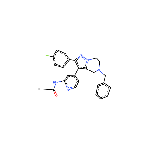 CC(=O)Nc1cc(-c2c(-c3ccc(F)cc3)nn3c2CN(Cc2ccccc2)CC3)ccn1